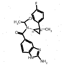 CC(C)N(C(=O)c1ccc2[nH]c(N)nc2c1)[C@H]1C[C@]1(C)c1ccc(F)cc1